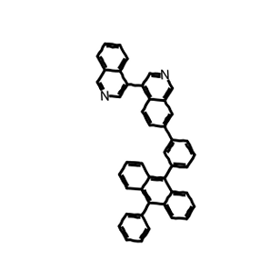 c1ccc(-c2c3ccccc3c(-c3cccc(-c4ccc5c(-c6cncc7ccccc67)cncc5c4)c3)c3ccccc23)cc1